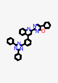 c1ccc(-c2nc(-c3ccccc3)nc(-c3cccc(-c4cc(-c5ncc6c(n5)oc5ccccc56)nc5ccccc45)c3)n2)cc1